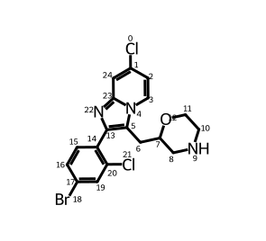 Clc1ccn2c(CC3CNCCO3)c(-c3ccc(Br)cc3Cl)nc2c1